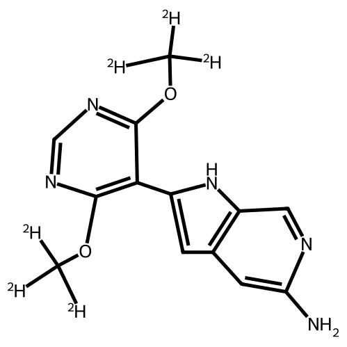 [2H]C([2H])([2H])Oc1ncnc(OC([2H])([2H])[2H])c1-c1cc2cc(N)ncc2[nH]1